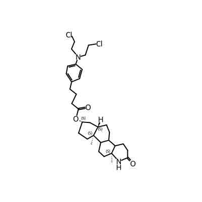 C[C@]12CCC3C(CC[C@H]4C[C@@H](OC(=O)CCCc5ccc(N(CCCl)CCCl)cc5)CC[C@]34C)C1CCC(=O)N2